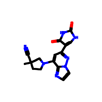 CC1(C#N)CCN(c2cc(-c3c[nH]c(=O)[nH]c3=O)nn3ccnc23)C1